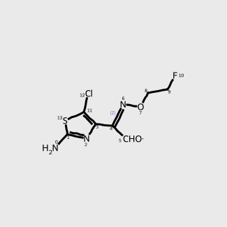 Nc1nc(/C([C]=O)=N/OCCF)c(Cl)s1